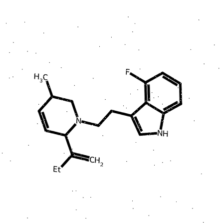 C=C(CC)C1C=CC(C)CN1CCc1c[nH]c2cccc(F)c12